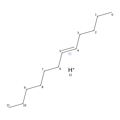 CCCC/C=C/CCCCCC.[H+]